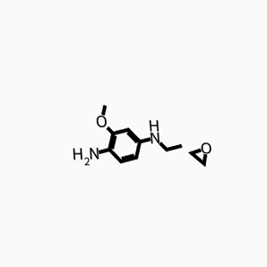 C1CO1.CCNc1ccc(N)c(OC)c1